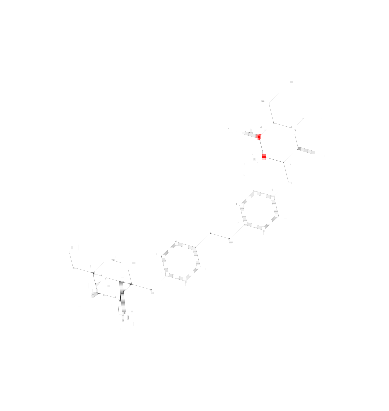 CN1C(=O)C2(Cc3ccc(CCc4ccc(CC56SSC(CO)(C(=O)N5C)N(C)C6=O)cc4)cc3)SSC1(CO)C(=O)N2C